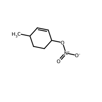 CC1C=CC(O[N+](=O)[O-])CC1